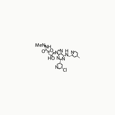 CNNC(=O)[C@@H]1C[C@@H](O)[C@H](n2cnc3c(NCc4cc(C)ccn4)nc(-c4cncc(Cl)c4)nc32)O1